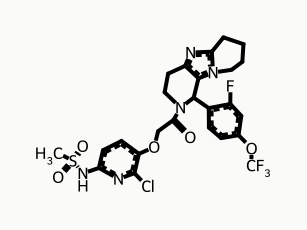 CS(=O)(=O)Nc1ccc(OCC(=O)N2CCc3nc4n(c3C2c2ccc(OC(F)(F)F)cc2F)CCCC4)c(Cl)n1